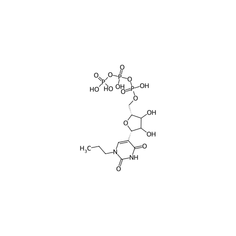 CCCn1cc([C@@H]2O[C@H](COP(=O)(O)OP(=O)(O)OP(=O)(O)O)C(O)C2O)c(=O)[nH]c1=O